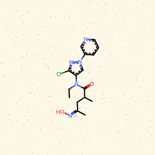 CCN(C(=O)C(C)C/C(C)=N\O)c1cn(-c2cccnc2)nc1Cl